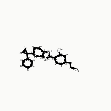 O=CCc1ccc(-c2nc3ccc(C4(c5ccccc5)C=C4)nc3s2)c(F)c1